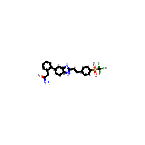 NC(=O)Cc1ccccc1-c1ccc2[nH]c(/C=C/c3ccc(S(=O)(=O)C(F)(F)F)cc3)nc2c1